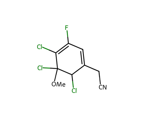 COC1(Cl)C(Cl)=C(F)C=C(CC#N)C1Cl